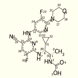 C[C@H](NC(=O)O)[C@H](Nc1nc(Nc2cnc(N3CCOCC3)c(F)c2)c(C#N)cc1F)C1CC1